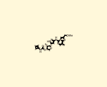 COCc1cn2c(Nc3cc([C@@H]4OC[C@H](OC(=O)NC56CC(C5)C6)[C@@H]4F)[nH]n3)ncc(F)c2n1